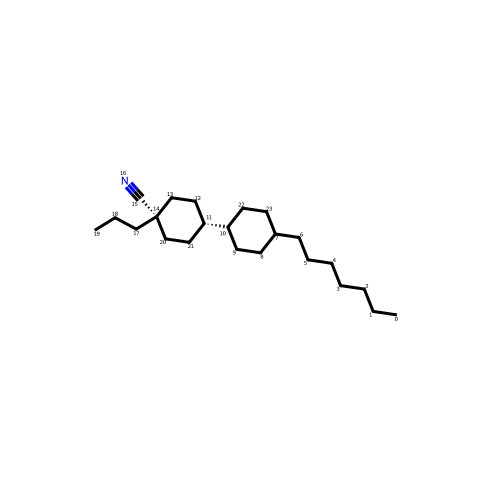 CCCCCCCC1CCC([C@H]2CC[C@](C#N)(CCC)CC2)CC1